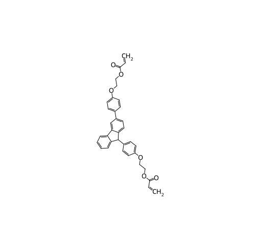 C=CC(=O)OCCOc1ccc(-c2ccc3c(c2)-c2ccccc2C3c2ccc(OCCOC(=O)C=C)cc2)cc1